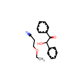 CCOCCC#N.O=C(c1ccccc1)C(O)c1ccccc1